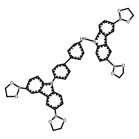 c1cc(-c2ccc(-n3c4ccc(B5OCCO5)cc4c4cc(B5OCCO5)ccc43)cc2)ccc1Nn1c2ccc(B3OCCO3)cc2c2cc(B3OCCO3)ccc21